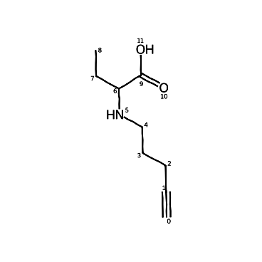 C#CCCCNC(CC)C(=O)O